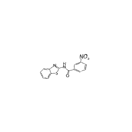 O=C(Nc1nc2ccccc2s1)c1cccc([N+](=O)[O-])c1